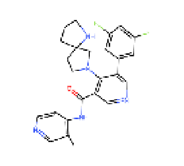 Cc1cnccc1NC(=O)c1cncc(-c2cc(F)cc(F)c2)c1N1CCC2(CCCN2)C1